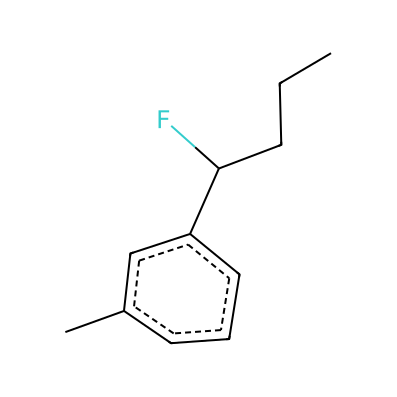 CCCC(F)c1cccc(C)c1